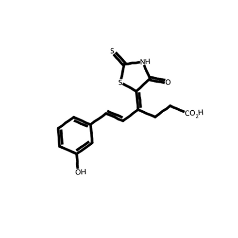 O=C(O)CCC(C=Cc1cccc(O)c1)=C1SC(=S)NC1=O